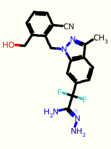 Cc1nn(Cc2c(C#N)cccc2CO)c2cc(C(F)(F)/C(N)=N/N)ccc12